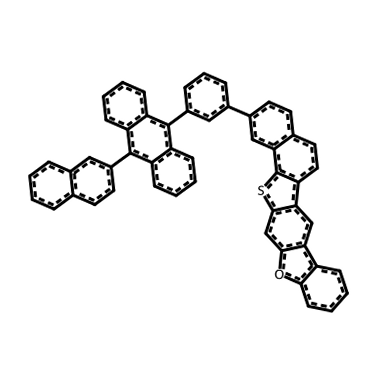 c1cc(-c2ccc3ccc4c5cc6c(cc5sc4c3c2)oc2ccccc26)cc(-c2c3ccccc3c(-c3ccc4ccccc4c3)c3ccccc23)c1